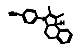 CC1=C(C)N(c2ccc(C(C)(C)C)cc2)C2CCc3ccccc3[C@H]12